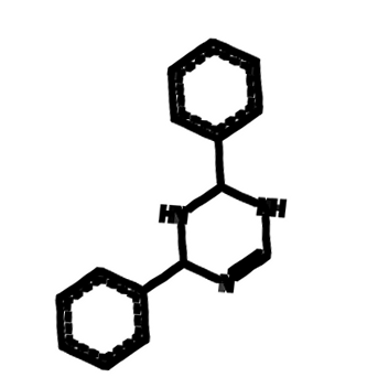 C1=NC(c2ccccc2)NC(c2ccccc2)N1